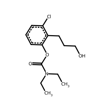 CCN(CC)C(=O)Oc1cccc(Cl)c1CCCO